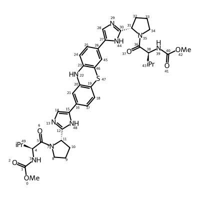 COC(=O)N[C@H](C(=O)N1CCC[C@H]1c1ncc(-c2ccc3c(c2)Nc2ccc(-c4cnc([C@@H]5CCCN5C(=O)[C@@H](NC(=O)OC)C(C)C)[nH]4)cc2S3)[nH]1)C(C)C